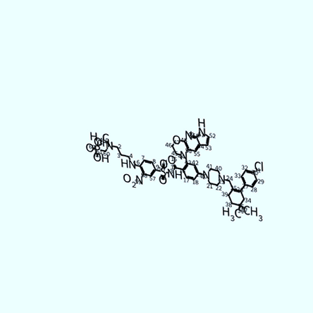 CN(CCCNc1ccc(S(=O)(=O)NC(=O)c2ccc(N3CCN(CC4=C(c5ccc(Cl)cc5)CC(C)(C)CC4)CC3)cc2N2CCOc3nc4[nH]ccc4cc32)cc1[N+](=O)[O-])CP(=O)(O)O